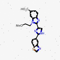 COCCn1c(-c2c[nH]c(-c3ccc4scnc4c3)n2)nc2ccc(C(=O)O)cc21